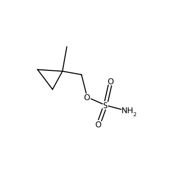 CC1(COS(N)(=O)=O)CC1